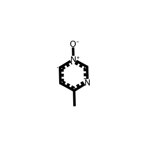 Cc1c[c][n+]([O-])cn1